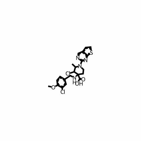 COc1ccc(CNC2(C(=O)O)CCN(c3ncc4ccsc4n3)C(C)C2Cl)cc1Cl